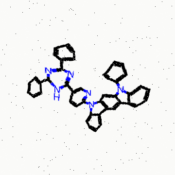 c1ccc(C2=NC(c3ccccc3)NC(c3ccc(-n4c5ccccc5c5cc6c7ccccc7n(-c7ccccc7)c6cc54)nc3)=N2)cc1